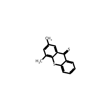 Cc1cc(C)c2sc3ccccc3c(=S)c2c1